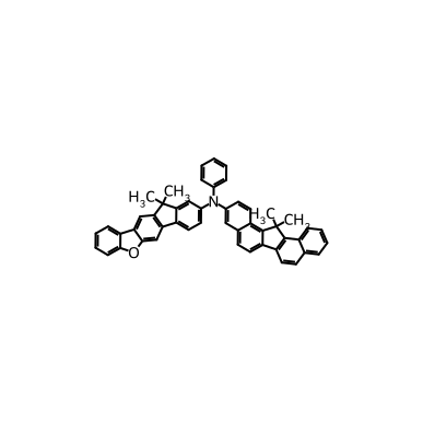 CC1(C)c2cc(N(c3ccccc3)c3ccc4c5c(ccc4c3)-c3ccc4ccccc4c3C5(C)C)ccc2-c2cc3oc4ccccc4c3cc21